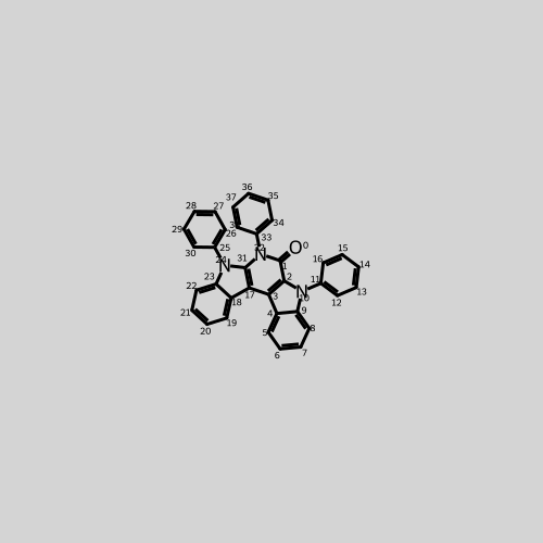 O=c1c2c(c3ccccc3n2-c2ccccc2)c2c3ccccc3n(-c3ccccc3)c2n1-c1ccccc1